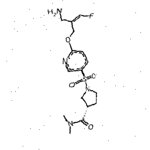 CN(C)C(=O)[C@H]1CCN(S(=O)(=O)c2ccc(OC/C(=C\F)CN)nc2)C1